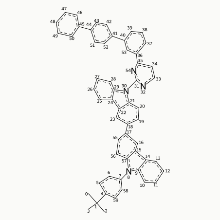 CC(C)(C)c1ccc(-n2c3ccccc3c3cc(-c4ccc5c(c4)c4ccccc4n5-c4nccc(-c5cccc(-c6ccc(-c7ccccc7)cc6)c5)n4)ccc32)cc1